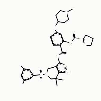 CN1CCC(Oc2ccc(C(=O)Nc3n[nH]c4c3CN(S(=O)(=O)c3cc(F)cc(F)c3)CC4(C)C)c(NC(=O)[C@H]3CCCO3)c2)CC1